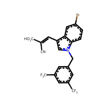 N#C/C(=C\c1cn(Cc2cc(C(F)(F)F)cc(C(F)(F)F)c2)c2ccc(Br)cc12)C(=O)O